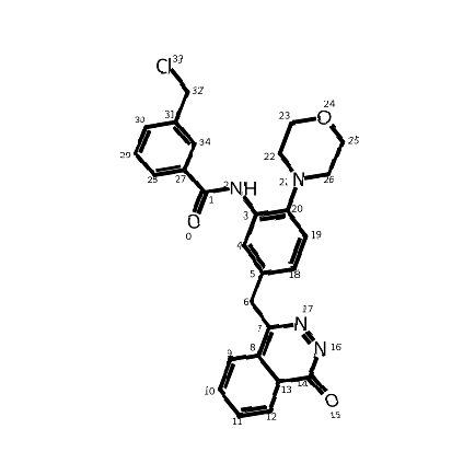 O=C(Nc1cc(CC2=C3C=CC=CC3C(=O)N=N2)ccc1N1CCOCC1)c1cccc(CCl)c1